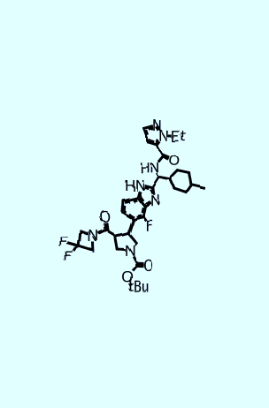 CCn1nccc1C(=O)N[C@H](c1nc2c(F)c(C3CN(C(=O)OC(C)(C)C)CC3C(=O)N3CC(F)(F)C3)ccc2[nH]1)C1CCC(C)CC1